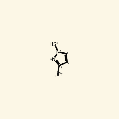 CC(C)c1ccn(S)n1